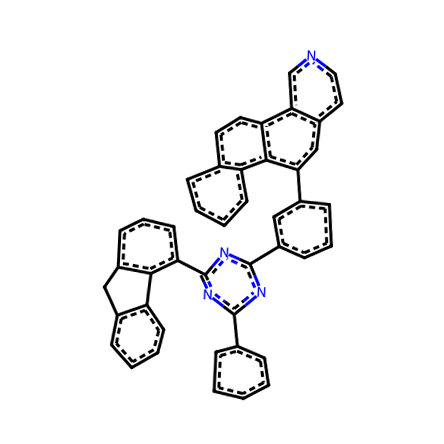 c1ccc(-c2nc(-c3cccc(-c4cc5ccncc5c5ccc6ccccc6c45)c3)nc(-c3cccc4c3-c3ccccc3C4)n2)cc1